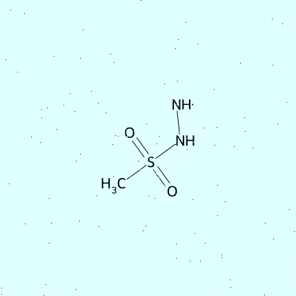 CS(=O)(=O)N[NH]